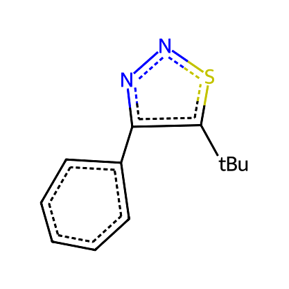 CC(C)(C)c1snnc1-c1ccccc1